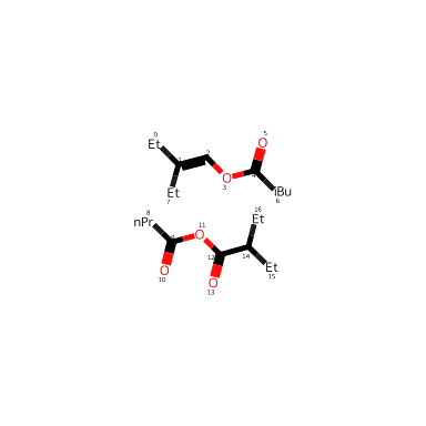 CCC(=COC(=O)C(C)CC)CC.CCCC(=O)OC(=O)C(CC)CC